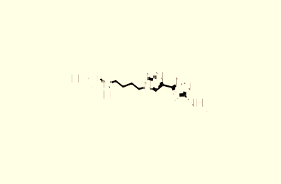 Nc1nnc(-c2cn(CCCCNC(=O)O)nn2)s1